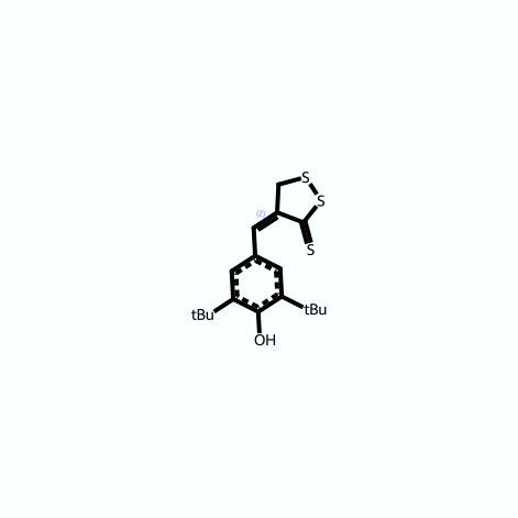 CC(C)(C)c1cc(/C=C2/CSSC2=S)cc(C(C)(C)C)c1O